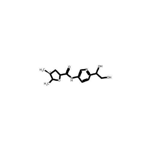 CC1OC(C(=O)Nc2ccc(C(O)CO)nc2)C[C@@H]1C